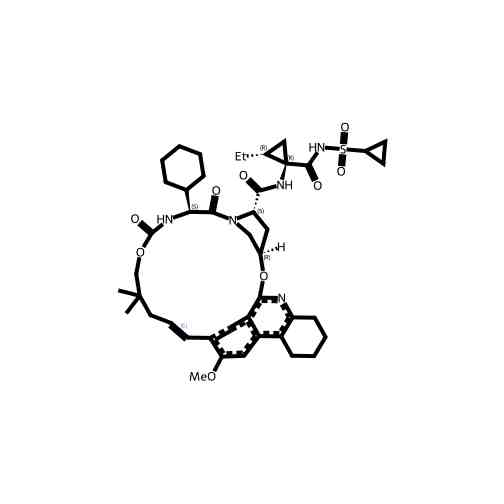 CC[C@@H]1C[C@]1(NC(=O)[C@@H]1C[C@@H]2CN1C(=O)[C@H](C1CCCCC1)NC(=O)OCC(C)(C)C/C=C/c1cc3c(nc4c(c3cc1OC)CCCC4)O2)C(=O)NS(=O)(=O)C1CC1